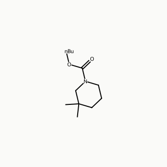 CCCCOC(=O)N1CCCC(C)(C)C1